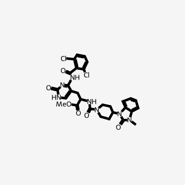 COC(=O)C(Cc1c[nH]c(=O)nc1NC(=O)c1c(Cl)cccc1Cl)NC(=O)N1CCC(n2c(=O)n(C)c3ccccc32)CC1